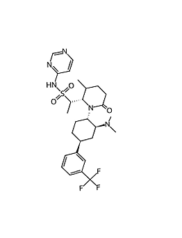 CC1CCC(=O)N([C@H]2CC[C@H](c3cccc(C(F)(F)F)c3)C[C@@H]2N(C)C)[C@@H]1C(C)S(=O)(=O)Nc1ccncn1